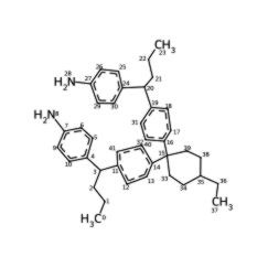 CCCC(c1ccc(N)cc1)c1ccc(C2(c3ccc(C(CCC)c4ccc(N)cc4)cc3)CCC(CC)CC2)cc1